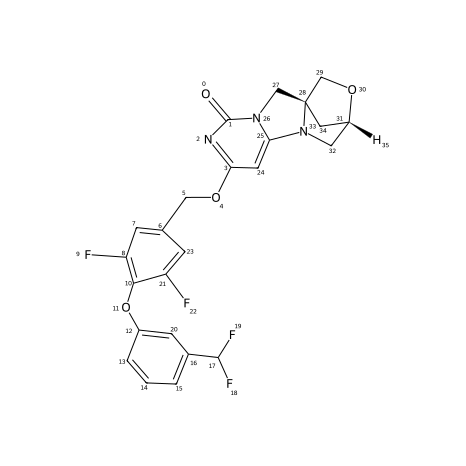 O=c1nc(OCc2cc(F)c(Oc3cccc(C(F)F)c3)c(F)c2)cc2n1C[C@]13CO[C@H](CN21)C3